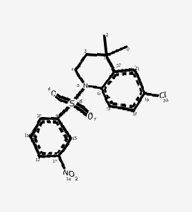 CC1(C)CCN(S(=O)(=O)c2cccc([N+](=O)[O-])c2)c2ccc(Cl)cc21